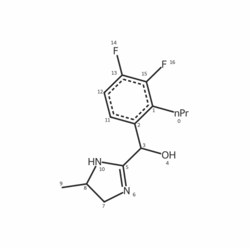 CCCc1c(C(O)C2=NCC(C)N2)ccc(F)c1F